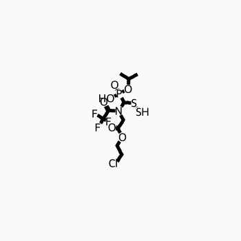 CC(C)OP(=O)(O)C(SS)N(CC(=O)OCCCl)C(=O)C(F)(F)F